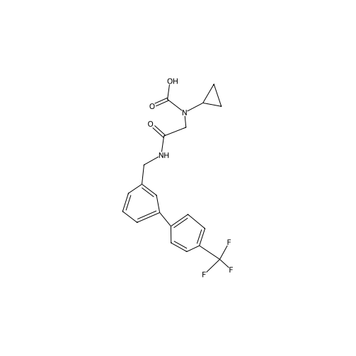 O=C(CN(C(=O)O)C1CC1)NCc1cccc(-c2ccc(C(F)(F)F)cc2)c1